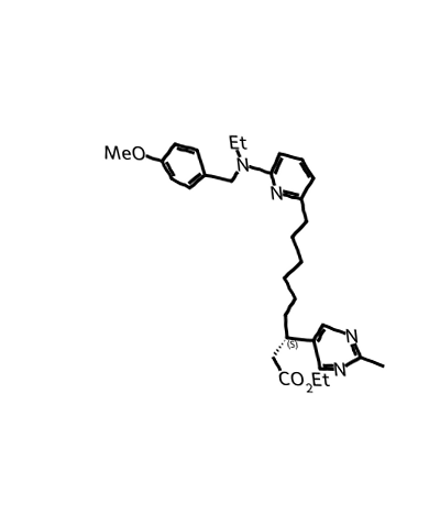 CCOC(=O)C[C@H](CCCCCCc1cccc(N(CC)Cc2ccc(OC)cc2)n1)c1cnc(C)nc1